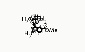 COC(=O)c1ccc2c(c1)c(B1OC(C)(C)C(C)(C)O1)cn2C